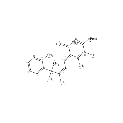 C=C(C)C(=C/C=C(/C)C(C)(C)c1ccccc1C)/C(C)=C(/S)C(=C)CCCCC